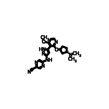 COc1ccnc(O[C@H]2CC[C@H](N(C)C)C2)c1-c1cc(Nc2cnc(C#N)cn2)n[nH]1